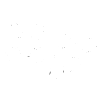 c1ccc(C2(c3ccccc3)c3ccccc3-c3cc4c5ccccc5n(-c5cccc6c7ccccc7c7ccccc7c56)c4cc32)cc1